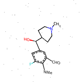 CNc1c(F)cc([C@@H](O)C2CCN(C)CC2)cc1C=O